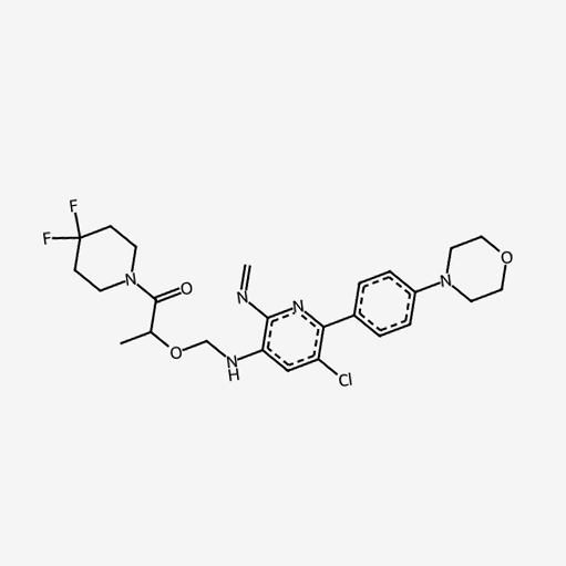 C=Nc1nc(-c2ccc(N3CCOCC3)cc2)c(Cl)cc1NCOC(C)C(=O)N1CCC(F)(F)CC1